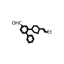 CCC=CC1CCC(c2cc(C=O)ccc2-c2ccccc2)CC1